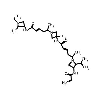 C=CC(=O)NC1CN(C(C)C/C=C/C(=O)NC2(C)CN(C(C)C/C=C/C(=O)NC3CN(CC)C3C)C2)C1C(C)C